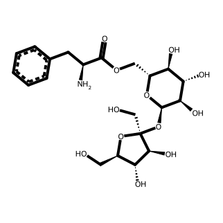 N[C@@H](Cc1ccccc1)C(=O)OC[C@H]1O[C@H](O[C@]2(CO)O[C@H](CO)[C@@H](O)[C@@H]2O)[C@H](O)[C@@H](O)[C@@H]1O